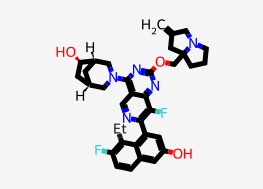 C=C1CN2CCCC2(COc2nc(N3C[C@@H]4C[C@H](C3)[C@H](O)C4)c3cnc(-c4cc(O)cc5ccc(F)c(CC)c45)c(F)c3n2)C1